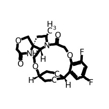 C[C@@H]1C[C@]2(COCC(=O)N2)[C@H]2CO[C@H]3CC[C@H](CC3)c3cc(F)cc(F)c3OCC(=O)N12